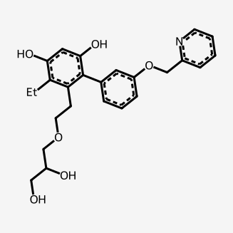 CCc1c(O)cc(O)c(-c2cccc(OCc3ccccn3)c2)c1CCOCC(O)CO